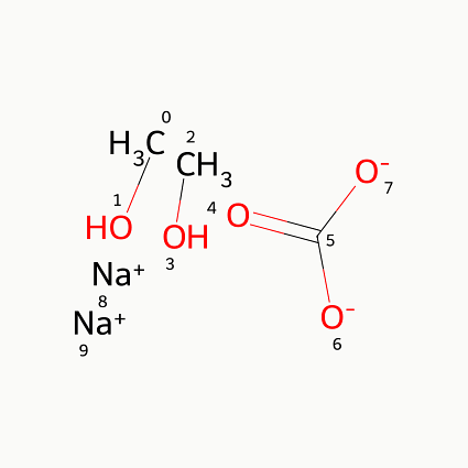 CO.CO.O=C([O-])[O-].[Na+].[Na+]